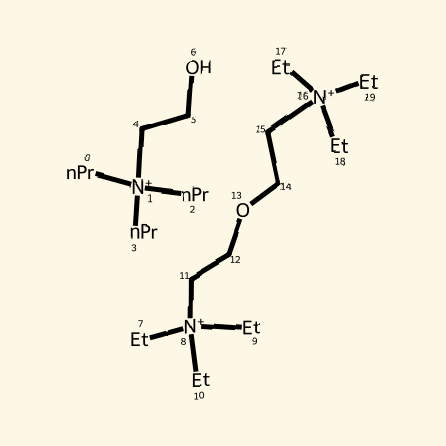 CCC[N+](CCC)(CCC)CCO.CC[N+](CC)(CC)CCOCC[N+](CC)(CC)CC